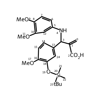 C=C(C(=O)O)C(Nc1ccc(OC)c(OC)c1)c1ccc(OC)c(O[Si](C)(C)C(C)(C)C)c1